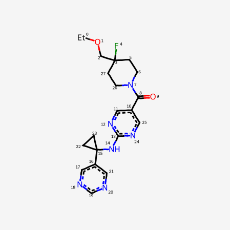 CCOCC1(F)CCN(C(=O)c2cnc(NC3(c4cncnc4)CC3)nc2)CC1